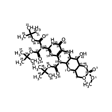 COP1(=O)OCC2OC3C(Nc4c(nc(N(C(=O)OC(C)(C)C)C(=O)OC(C)(C)C)[nH]c4=O)N3C(=O)OC(C)(C)C)C(O)C2O1